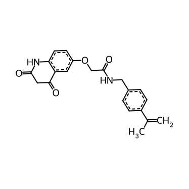 C=C(C)c1ccc(CNC(=O)COc2ccc3c(c2)C(=O)CC(=O)N3)cc1